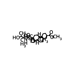 COC(=O)C1=CC2=CC[C@H]3[C@@H]4CC[C@H](C(=O)NC(C)(C)C(C)O)[C@@]4(C)CC[C@@H]3[C@@]2(C)CC1